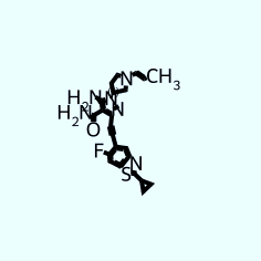 CC=CN1CC[C@H](n2nc(C#Cc3cc4nc(C5CC5)sc4cc3F)c(C(N)=O)c2N)C1